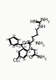 N=C(N)NCCC[C@H](N)C(=O)N(CC(N)=O)c1ccc(Cl)cc1C(=O)c1ccccc1